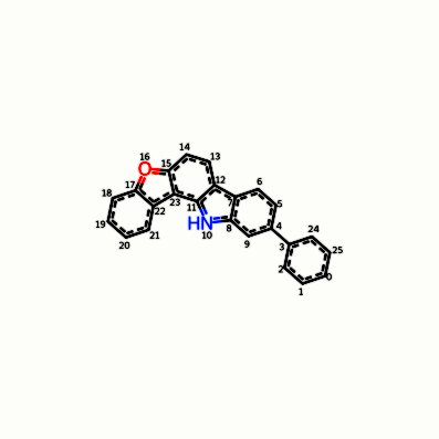 c1ccc(-c2ccc3c(c2)[nH]c2c3ccc3oc4ccccc4c32)cc1